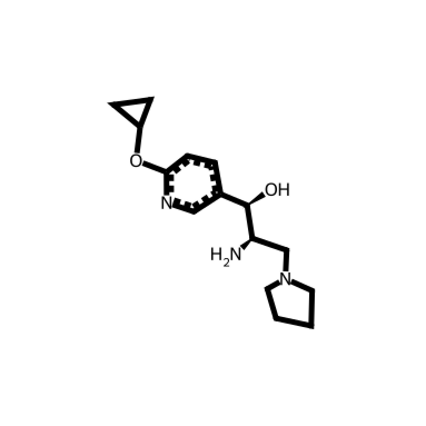 N[C@H](CN1CCCC1)[C@H](O)c1ccc(OC2CC2)nc1